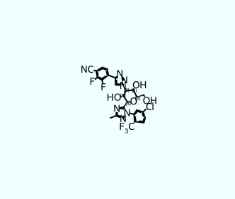 Cc1nc([C@@H]2O[C@H](CO)[C@H](O)[C@H](n3cc(-c4ccc(C#N)c(F)c4F)nn3)[C@H]2O)n(-c2cc(Cl)ccc2C(F)(F)F)n1